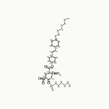 CCCCCCCCc1ccc(C=Cc2ccc(OC(=O)c3cc([N+](=O)[O-])c(O[C@H](C)CCCCCC)cc3N)cc2)cc1